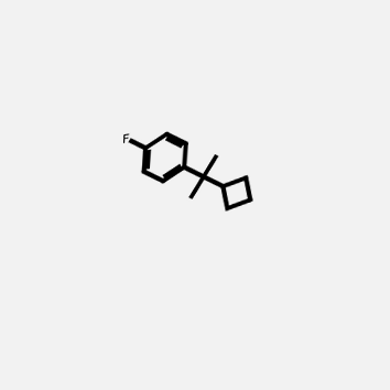 CC(C)(c1ccc(F)cc1)C1CCC1